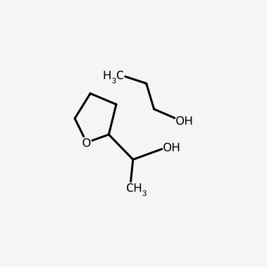 CC(O)C1CCCO1.CCCO